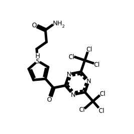 NC(=O)CC[SH]1C=CC(C(=O)c2nc(C(Cl)(Cl)Cl)nc(C(Cl)(Cl)Cl)n2)=C1